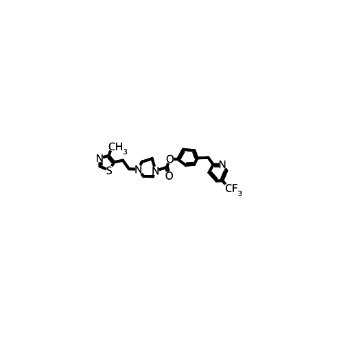 Cc1ncsc1CCN1CCN(C(=O)Oc2ccc(Cc3ccc(C(F)(F)F)cn3)cc2)CC1